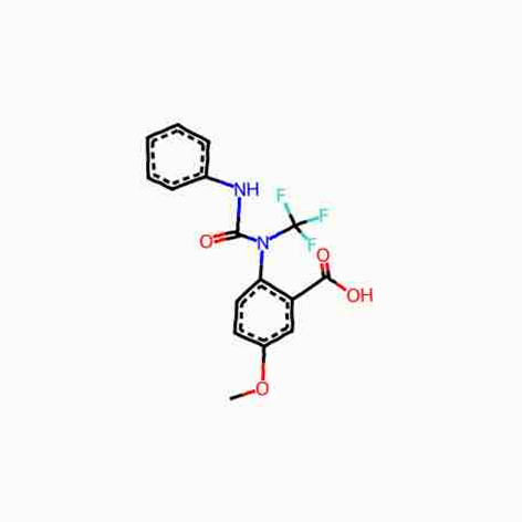 COc1ccc(N(C(=O)Nc2ccccc2)C(F)(F)F)c(C(=O)O)c1